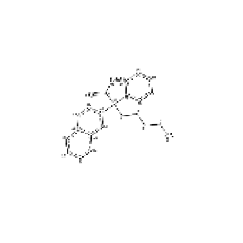 COC(=O)C(CCCCC#N)(c1ccccc1)c1ccc2ccccc2c1